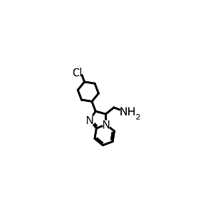 NCC1C(C2CCC(Cl)CC2)N=C2C=CC=CN21